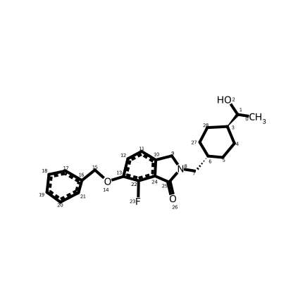 CC(O)[C@H]1CC[C@H](CN2Cc3ccc(OCc4ccccc4)c(F)c3C2=O)CC1